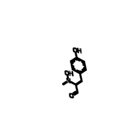 CN(O)C(C=O)Cc1ccc(O)cc1